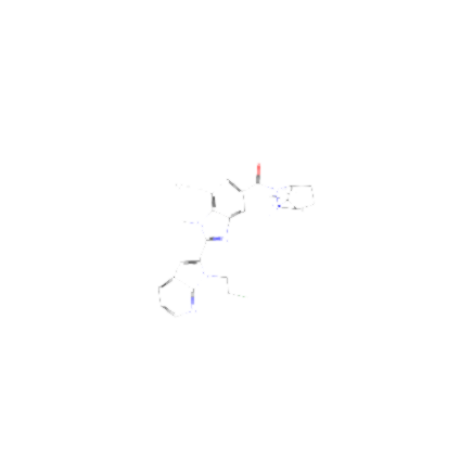 COc1cc(C(=O)N2C[C@@H]3CC[C@H]2[C@H]3N)cc2nc(-c3cc4cccnc4n3CCF)n(C)c12